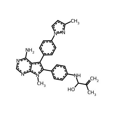 C=C(C)C(O)Nc1ccc(-c2c(-c3ccc(-n4ccc(C)n4)cc3)c3c(N)ncnc3n2C)cc1